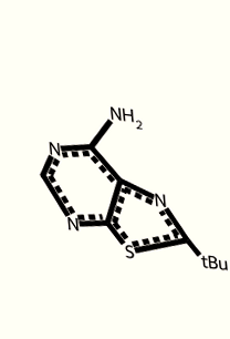 CC(C)(C)c1nc2c(N)ncnc2s1